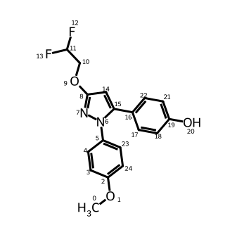 COc1ccc(-n2nc(OCC(F)F)cc2-c2ccc(O)cc2)cc1